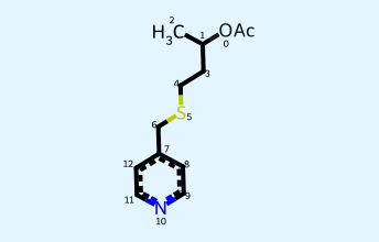 CC(=O)OC(C)CCSCc1ccncc1